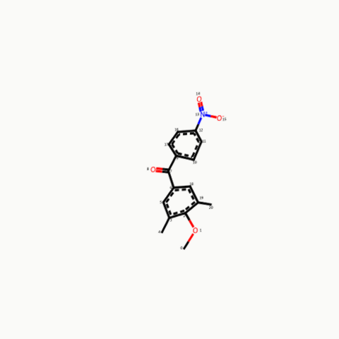 COc1c(C)cc(C(=O)c2ccc([N+](=O)[O-])cc2)cc1C